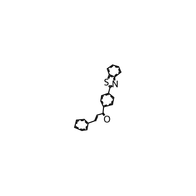 O=C(C=Cc1ccccc1)c1ccc(-c2nc3ccccc3s2)cc1